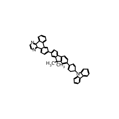 CC1(C)c2cc(C3=CCC(n4c5ccccc5c5ccccc54)C=C3)ccc2-c2ccc(-c3ccc4c(c3)c3ccccc3c3nccnc43)cc21